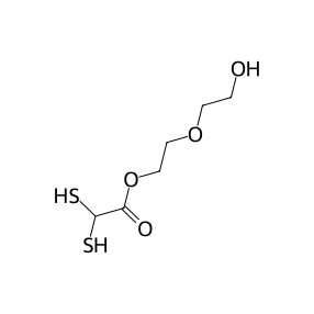 O=C(OCCOCCO)C(S)S